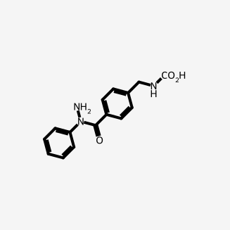 NN(C(=O)c1ccc(CNC(=O)O)cc1)c1ccccc1